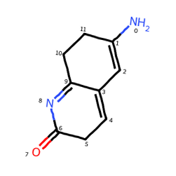 NC1=CC2=CCC(=O)N=C2CC1